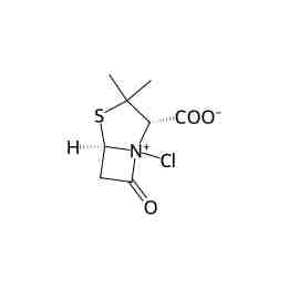 CC1(C)S[C@@H]2CC(=O)[N+]2(Cl)[C@H]1C(=O)[O-]